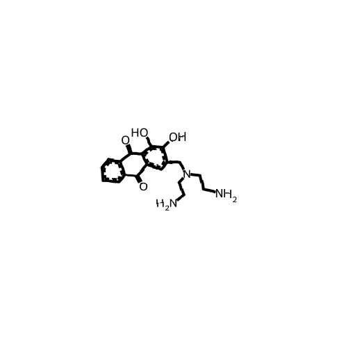 NCCN(CCN)Cc1cc2c(c(O)c1O)C(=O)c1ccccc1C2=O